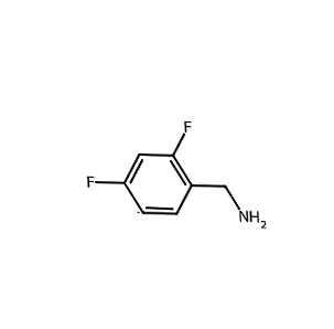 NCc1c[c]c(F)cc1F